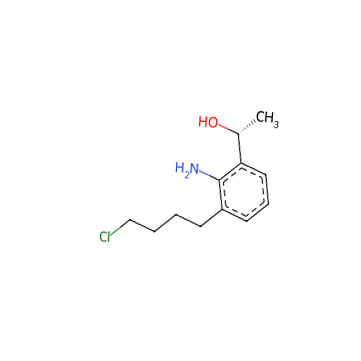 C[C@@H](O)c1cccc(CCCCCl)c1N